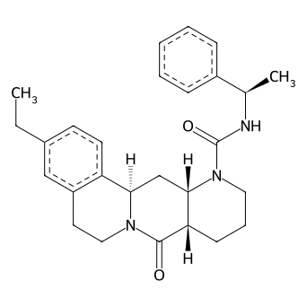 CCc1ccc2c(c1)CCN1C(=O)[C@H]3CCCN(C(=O)N[C@H](C)c4ccccc4)[C@H]3C[C@H]21